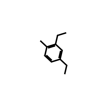 CCc1c[c]c(C)c(CC)c1